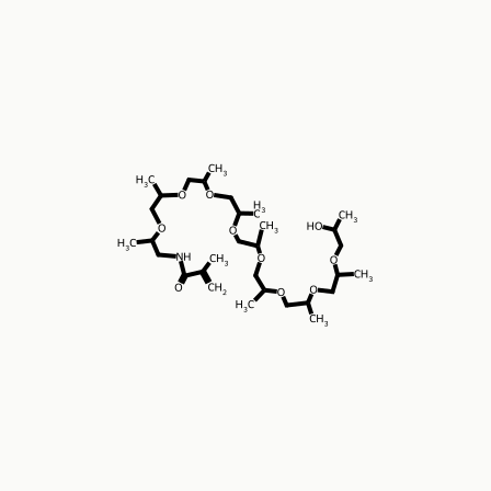 C=C(C)C(=O)NCC(C)OCC(C)OCC(C)OCC(C)OCC(C)OCC(C)OCC(C)OCC(C)OCC(C)O